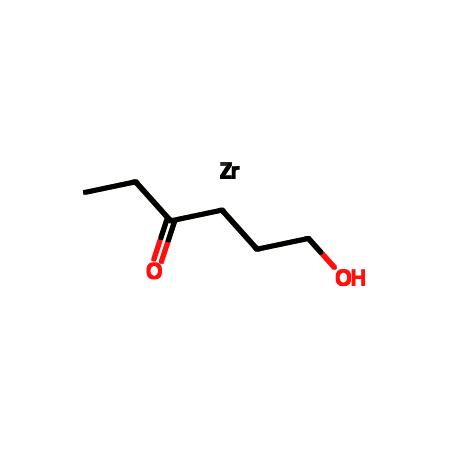 CCC(=O)CCCO.[Zr]